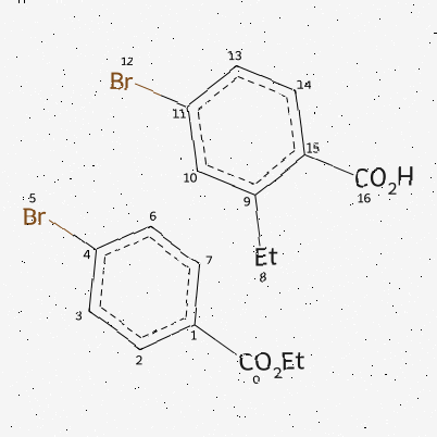 CCOC(=O)c1ccc(Br)cc1.CCc1cc(Br)ccc1C(=O)O